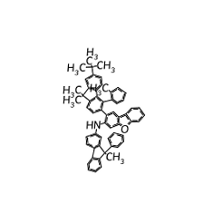 Cc1ccccc1-c1c(-c2cc3c(cc2Nc2ccc4c(c2)C(C)(c2ccccc2)c2ccccc2-4)oc2ccccc23)ccc2c1-c1ccc(C(C)(C)C)cc1C2(C)C